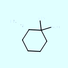 CCCCC1(CCCC)CCCCC1.N.N